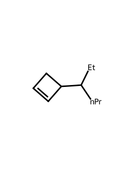 C[CH]CC(CC)C1C=CC1